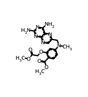 COC(=O)COc1cc(N(C)Cc2cnc3nc(N)nc(N)c3n2)ccc1C(=O)OC